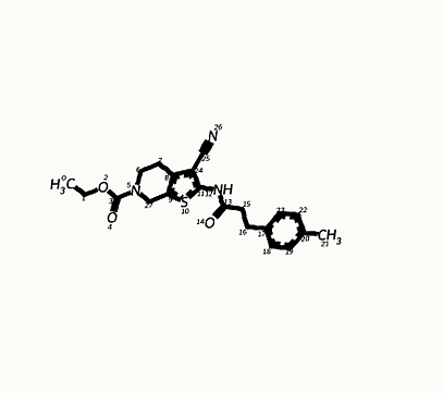 CCOC(=O)N1CCc2c(sc(NC(=O)CCc3ccc(C)cc3)c2C#N)C1